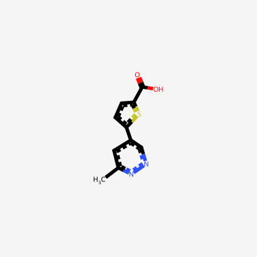 Cc1cc(-c2ccc(C(=O)O)s2)cnn1